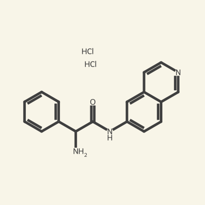 Cl.Cl.NC(C(=O)Nc1ccc2cnccc2c1)c1ccccc1